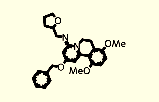 COc1ccc(OC)c2c1CCn1c-2cc(OCc2ccccc2)c/c1=N\CC1CCCO1